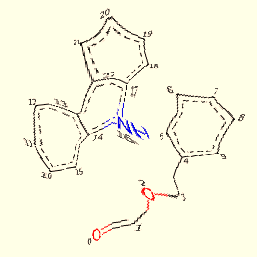 O=COCc1ccccc1.c1ccc2c(c1)[nH]c1ccccc12